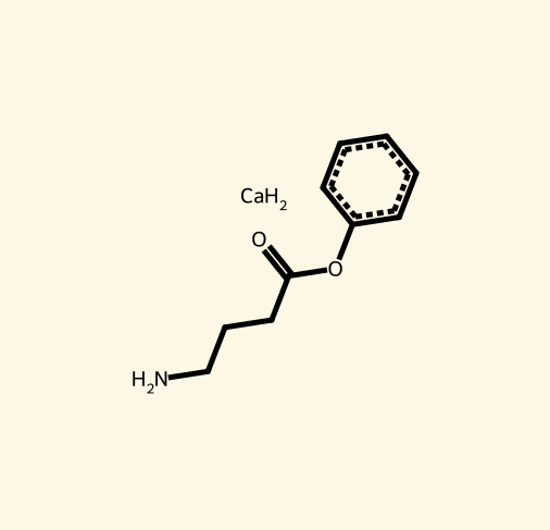 NCCCC(=O)Oc1ccccc1.[CaH2]